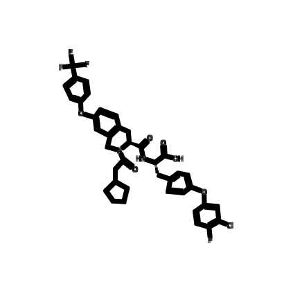 O=C(O)[C@H](Cc1ccc(Oc2ccc(F)c(Cl)c2)cc1)NC(=O)[C@@H]1Cc2ccc(Oc3ccc(C(F)(F)F)cc3)cc2CN1C(=O)CC1CCCC1